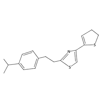 CC(C)c1ccc(CCc2nc(C3=CCCS3)cs2)cc1